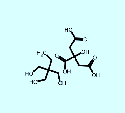 CCC(CO)(CO)CO.O=C(O)CC(O)(CC(=O)O)C(=O)O